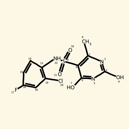 Cc1nc(O)nc(O)c1S(=O)(=O)Nc1ccc(F)cc1Cl